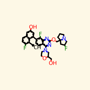 C#Cc1c(F)ccc2cc(O)cc(-c3ccc4c(N5CCOC(CO)C5)nc(OCC56CCCN5CC(F)C6)nc4c3F)c12